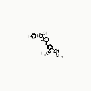 COc1cc(/C=C2\CCCN([C@@H]3CN(c4ccc(F)cc4)C[C@H]3O)C2=O)ccc1-n1cnc(C)c1